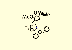 COc1ccc(CC(C)/N=C\C(=O)c2ccccc2OCc2ccccc2)c(OC)c1OC